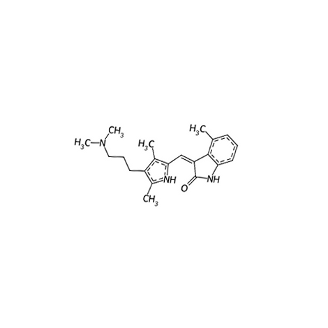 Cc1cccc2c1C(=Cc1[nH]c(C)c(CCCN(C)C)c1C)C(=O)N2